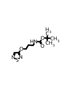 CC(C)(C)OC(=O)NCCCOc1cnsn1